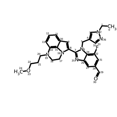 CCn1cc(Cn2c(-c3cc4cccc5c4n3CCN5CCCOC)nc3cc(C=O)cc(F)c32)cn1